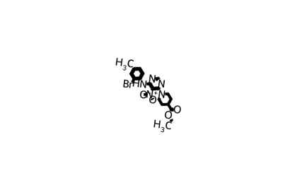 CCOC(=O)C1CCN(c2ncnc(Nc3ccc(C)cc3Br)c2[N+](=O)[O-])CC1